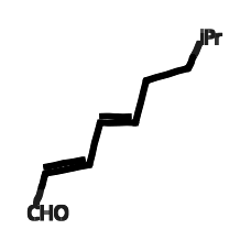 CC(C)CCC=CC=CC=O